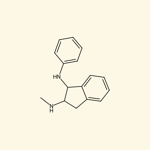 CNC1Cc2ccccc2C1Nc1ccccc1